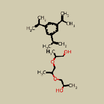 C=C(C)c1cc(C(=C)C)cc(C(=C)C)c1.CC(O)COC(C)COC(C)CO